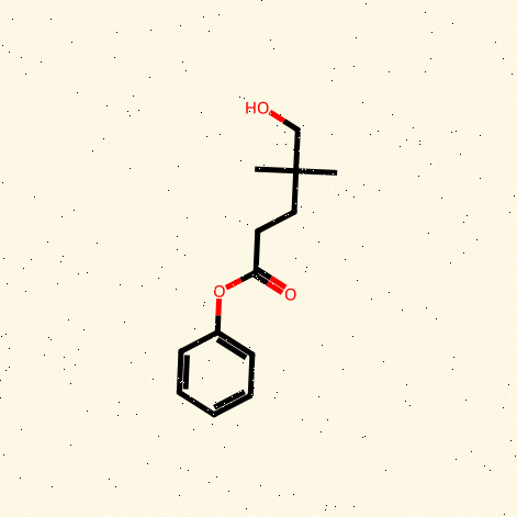 CC(C)(CO)CCC(=O)Oc1ccccc1